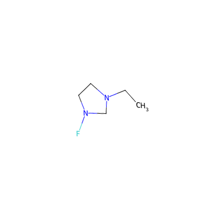 CCN1CCN(F)C1